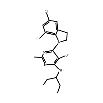 CCC(CC)Nc1nc(C)nc(N2CCc3cc(Cl)cc(Cl)c32)c1Br